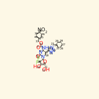 O=C(Nc1nc(=O)n([C@@H]2O[C@H](CO)C(O)C2(F)F)cc1-c1cn(Cc2ccccc2)nn1)OCc1ccc([N+](=O)[O-])cc1